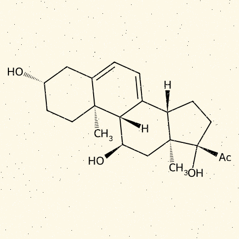 CC(=O)[C@]1(O)CC[C@H]2C3=CC=C4C[C@@H](O)CC[C@]4(C)[C@H]3[C@H](O)C[C@@]21C